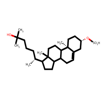 C[C@H](CCCC(C)(C)O)C1CCC2C3CC=C4C[C@@H](OS(=O)(=O)O)CC[C@]4(C)C3CCC21C